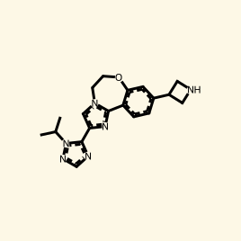 CC(C)n1ncnc1-c1cn2c(n1)-c1ccc(C3CNC3)cc1OCC2